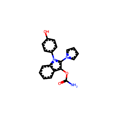 NC(=O)Oc1c(-n2cccc2)n(-c2ccc(O)cc2)c2ccccc12